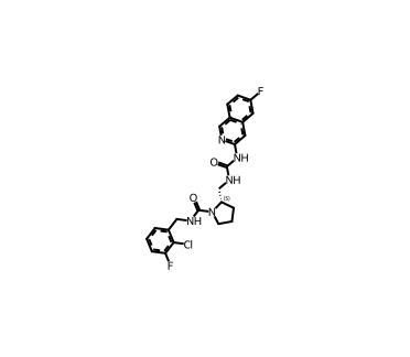 O=C(NC[C@@H]1CCCN1C(=O)NCc1cccc(F)c1Cl)Nc1cc2cc(F)ccc2cn1